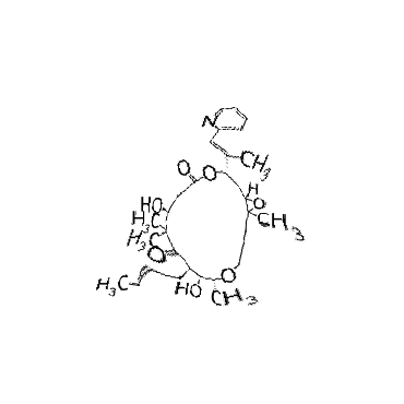 CC=CC[C@H]1C(=O)C(C)(C)[C@@H](O)CC(=O)O[C@H](C(C)=Cc2ccccn2)C[C@@H]2O[C@]2(C)CCO[C@H](C)[C@H]1O